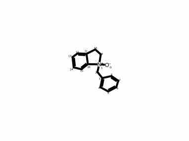 [O-][N+]1(Cc2ccccc2)CCc2ccccc21